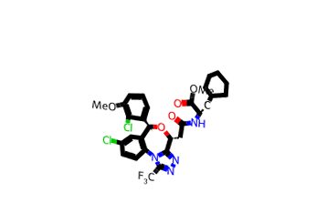 COC(=O)[C@H](CC1CCCCC1)NC(=O)C[C@H]1O[C@H](c2cccc(OC)c2Cl)c2cc(Cl)ccc2-n2c1nnc2C(F)(F)F